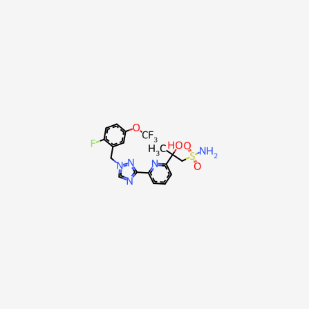 CC(O)(CS(N)(=O)=O)c1cccc(-c2ncn(Cc3cc(OC(F)(F)F)ccc3F)n2)n1